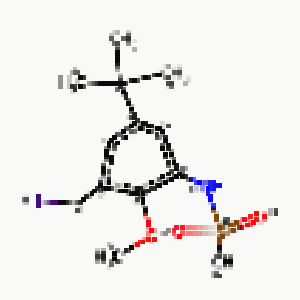 COc1c(CI)cc(C(C)(C)C)cc1NS(C)(=O)=O